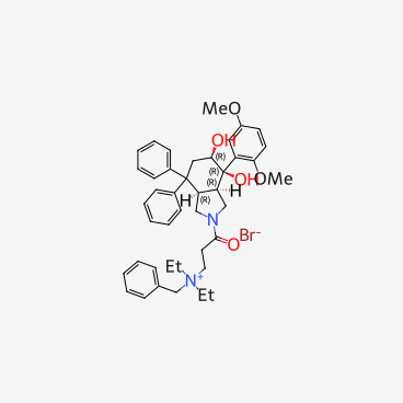 CC[N+](CC)(CCC(=O)N1C[C@@H]2[C@H](C1)[C@@](O)(c1cc(OC)ccc1OC)[C@H](O)CC2(c1ccccc1)c1ccccc1)Cc1ccccc1.[Br-]